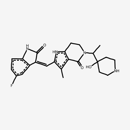 Cc1c(C=C2C(=O)Nc3ccc(F)cc32)[nH]c2c1C(=O)N(C(C)C1(O)CCNCC1)CC2